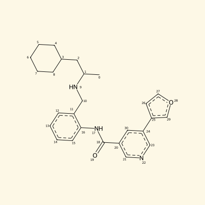 CC(CC1CCCCC1)NCc1ccccc1NC(=O)c1cncc(-c2ccoc2)c1